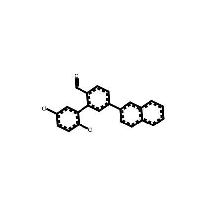 O=Cc1ccc(-c2ccc3ccccc3c2)cc1-c1cc(Cl)ccc1Cl